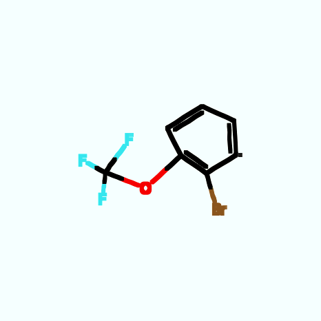 FC(F)(F)Oc1ccc[c]c1Br